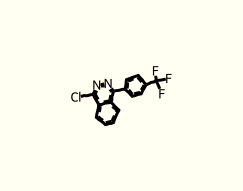 FC(F)(F)c1ccc(-c2nnc(Cl)c3ccccc23)cc1